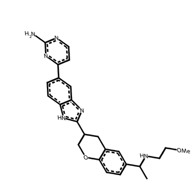 COCCNC(C)c1ccc2c(c1)CC(c1nc3cc(-c4ccnc(N)n4)ccc3[nH]1)CO2